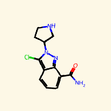 NC(=O)c1cccc2c(Cl)n(C3CCNC3)nc12